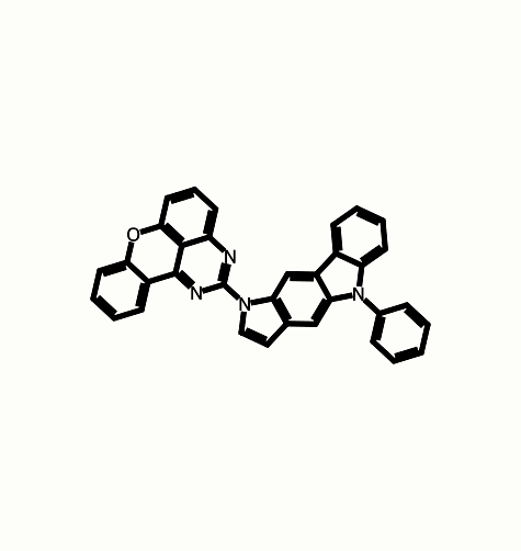 c1ccc(-n2c3ccccc3c3cc4c(ccn4-c4nc5c6c(cccc6n4)Oc4ccccc4-5)cc32)cc1